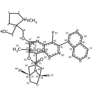 CN1CCCC1(CO)COc1nc(N2C[C@H]3CC[C@@H](C2)N3C(=O)OC(C)(C)C)c2cnc(-c3cccc4ccccc34)c(F)c2n1